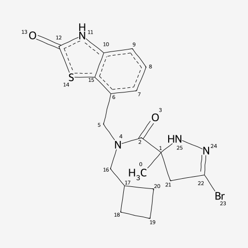 CC1(C(=O)N(Cc2cccc3[nH]c(=O)sc23)CC2CCC2)CC(Br)=NN1